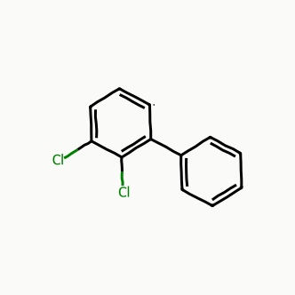 Clc1cc[c]c(-c2ccccc2)c1Cl